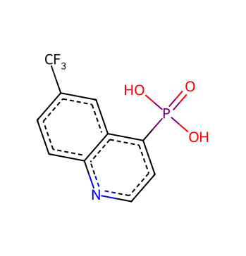 O=P(O)(O)c1ccnc2ccc(C(F)(F)F)cc12